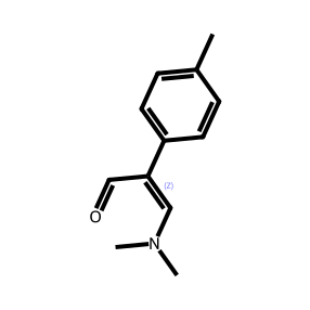 Cc1ccc(/C(C=O)=C/N(C)C)cc1